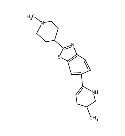 CC1CC=C(c2ccc3nc(C4CCN(C)CC4)sc3c2)NC1